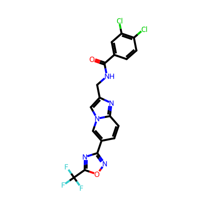 O=C(NCc1cn2cc(-c3noc(C(F)(F)F)n3)ccc2n1)c1ccc(Cl)c(Cl)c1